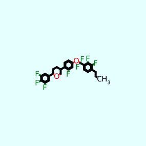 CCCc1ccc(C(F)(F)Oc2ccc(C3CCC(c4cc(F)c(F)c(F)c4)OC3)c(F)c2)c(F)c1F